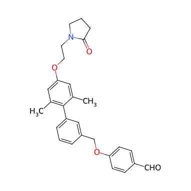 Cc1cc(OCCN2CCCC2=O)cc(C)c1-c1cccc(COc2ccc(C=O)cc2)c1